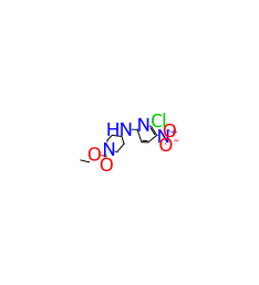 CCOC(=O)N1CCC(Nc2ccc([N+](=O)[O-])c(Cl)n2)CC1